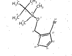 CC(C)(C)[Si](C)(C)OCc1sccc1Br